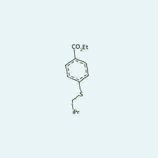 CCOC(=O)c1ccc(SCC(C)C)cc1